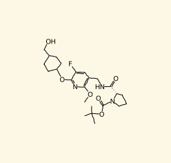 COc1nc(OC2CCC(CO)CC2)c(F)cc1CNC(=O)[C@@H]1CCCN1C(=O)OC(C)(C)C